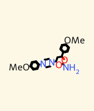 COc1ccc(C(CCN2CCN(c3ccc(OC)cc3)CC2)OC(N)=O)cc1